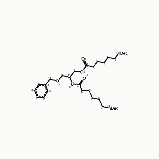 CCCCCCCCCCCCCCCC(=O)OCC(COCc1ccccc1)OC(=O)CCCCCCCCCCCCCCC